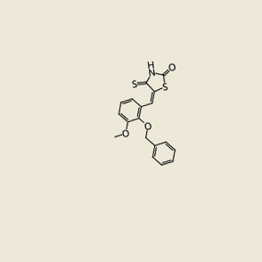 COc1cccc(C=C2SC(=O)NC2=S)c1OCc1ccccc1